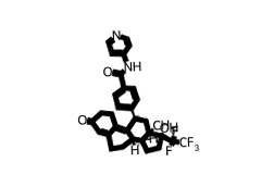 C[C@]12C[C@H](c3ccc(C(=O)Nc4ccncc4)cc3)C3=C4CCC(=O)C=C4CC[C@H]3[C@@H]1CC[C@@]2(O)C(F)(F)C(F)(F)F